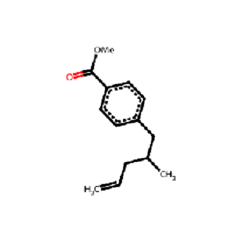 C=CCC(C)Cc1ccc(C(=O)OC)cc1